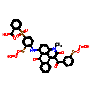 Cn1c(=O)c(C(=O)c2cccc(SOOO)c2)c2c3c(c(Nc4ccc(S(=O)(=O)c5ccccc5C(=O)O)cc4SOOO)ccc31)C(=O)c1ccccc1-2